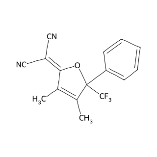 CC1=C(C)C(c2ccccc2)(C(F)(F)F)OC1=C(C#N)C#N